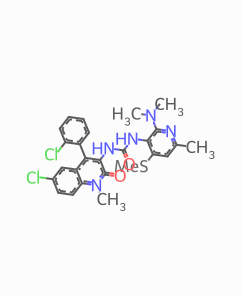 CSc1cc(C)nc(N(C)C)c1NC(=O)Nc1c(-c2ccccc2Cl)c2cc(Cl)ccc2n(C)c1=O